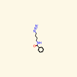 [N-]=[N+]=NCCCCNC(=O)c1ccccc1